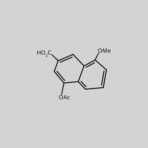 COc1cccc2c(OC(C)=O)cc(C(=O)O)cc12